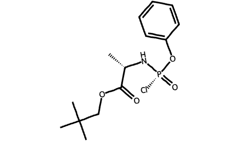 C[C@H](N[P@@](=O)(Cl)Oc1ccccc1)C(=O)OCC(C)(C)C